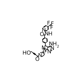 Nc1ncnc2c1c(-c1ccc(C(=O)Nc3cc(C(F)(F)F)ccn3)cc1)nn2[C@@H]1CCN(C(=O)C#CCO)C1